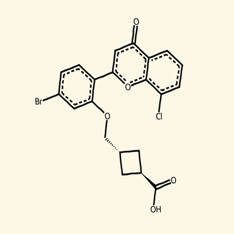 O=c1cc(-c2ccc(Br)cc2OC[C@H]2C[C@H](C(=O)O)C2)oc2c(Cl)cccc12